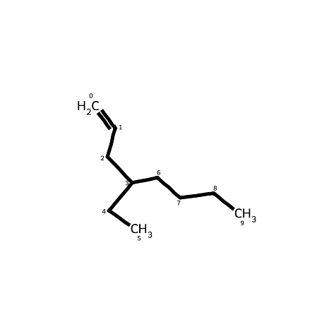 C=[C]CC(CC)CCCC